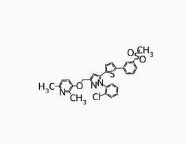 Cc1ccc(OCc2cc(-c3ccc(-c4cccc(S(C)(=O)=O)c4)s3)n(-c3ccccc3Cl)n2)c(C)n1